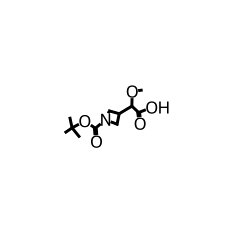 COC(C(=O)O)C1CN(C(=O)OC(C)(C)C)C1